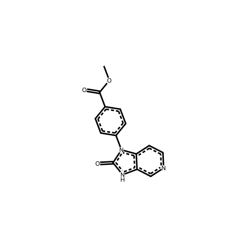 COC(=O)c1ccc(-n2c(=O)[nH]c3cnccc32)cc1